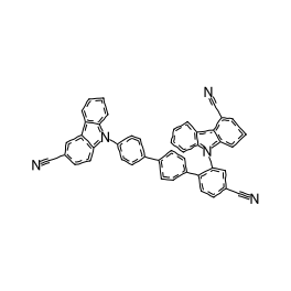 N#Cc1ccc(-c2ccc(-c3ccc(-n4c5ccccc5c5cc(C#N)ccc54)cc3)cc2)c(-n2c3ccccc3c3c(C#N)cccc32)c1